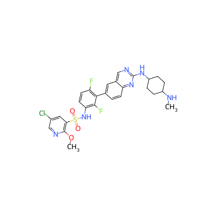 CNC1CCC(Nc2ncc3cc(-c4c(F)ccc(NS(=O)(=O)c5cc(Cl)cnc5OC)c4F)ccc3n2)CC1